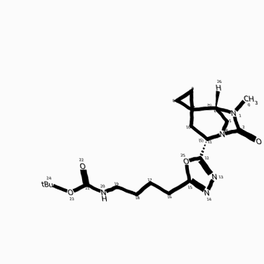 CN1C(=O)N2C[C@@H]1C1(CC1)C[C@H]2c1nnc(CCCCNC(=O)OC(C)(C)C)o1